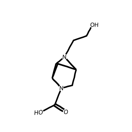 O=C(O)N1CC2CC1CN2CCO